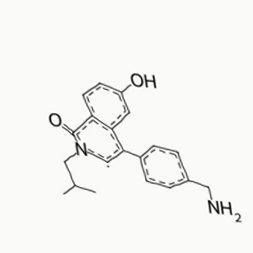 CC(C)Cn1[c]c(-c2ccc(CN)cc2)c2cc(O)ccc2c1=O